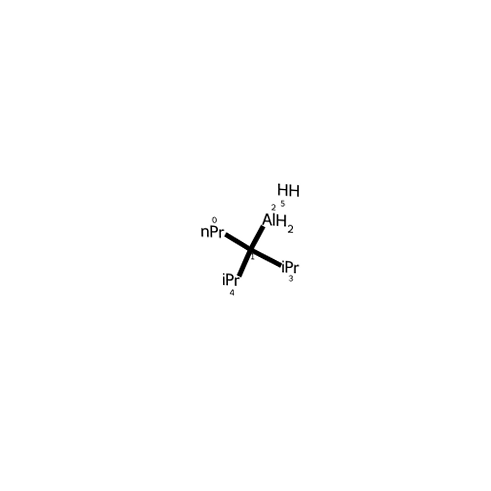 CCC[C]([AlH2])(C(C)C)C(C)C.[HH]